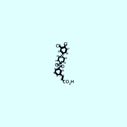 O=C(O)/C=C/c1cccc(S(=O)(=O)N2CCN(c3ccc(Cl)c(Cl)c3)CC2)c1